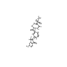 CC1(C)c2cc(C#N)ccc2C(=O)N1c1cncc(NC2CCN(S(=O)(=O)C3CC3)CC2)c1